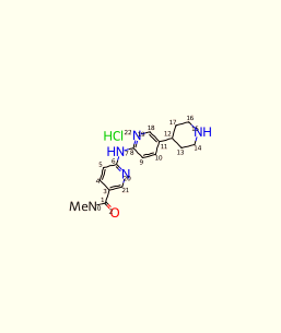 CNC(=O)c1ccc(Nc2ccc(C3CCNCC3)cn2)nc1.Cl